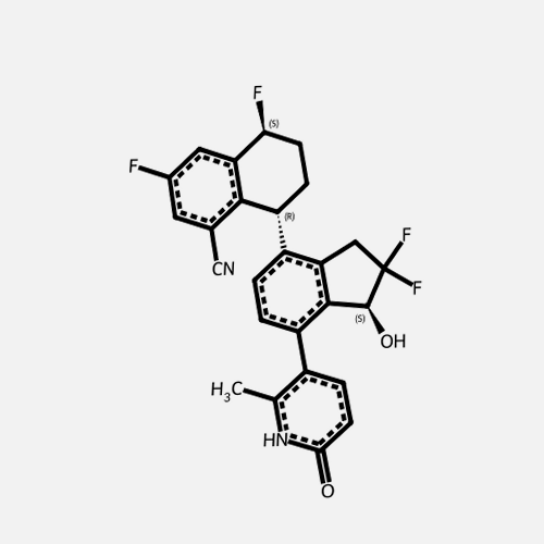 Cc1[nH]c(=O)ccc1-c1ccc([C@H]2CC[C@H](F)c3cc(F)cc(C#N)c32)c2c1[C@H](O)C(F)(F)C2